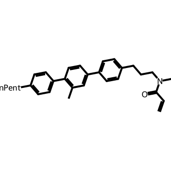 C=CC(=O)N(C)CCCc1ccc(-c2ccc(-c3ccc(CCCCC)cc3)c(C)c2)cc1